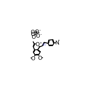 COc1cc2cc(C)[o+]c(/C=C/c3ccc(N(C)C)cc3)c2cc1OC.[O-][Cl+3]([O-])([O-])[O-]